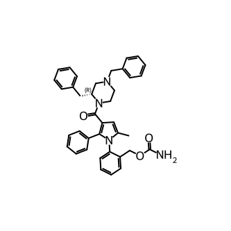 Cc1cc(C(=O)N2CCN(Cc3ccccc3)C[C@H]2Cc2ccccc2)c(-c2ccccc2)n1-c1ccccc1COC(N)=O